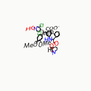 COc1ccc(C(Cc2c(Cl)c[n+](O)cc2Cl)c2cc(NC(C(=O)O[C@H]3CN4CCC3CC4)c3ccccc3OC)ccc2C(=O)[O-])cc1OC